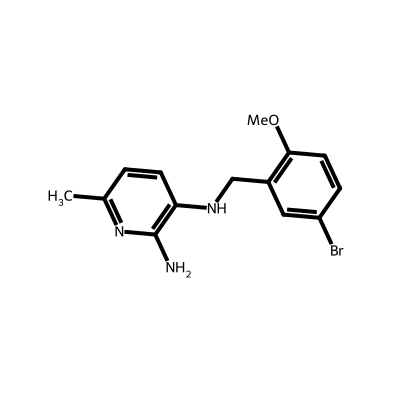 COc1ccc(Br)cc1CNc1ccc(C)nc1N